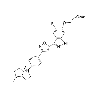 COCCOc1cc2[nH]nc(-c3cc(-c4ccc(N5CCC6N(C)CC[C@@]65C)cc4)no3)c2cc1F